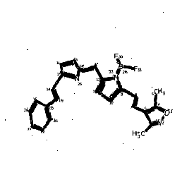 Cc1noc(C)c1/C=C/c1ccc(/C=C2/C=CC(/C=C/c3ccccc3)=N2)n1B(F)F